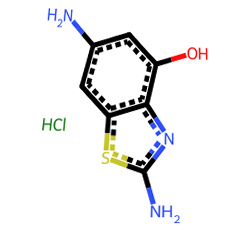 Cl.Nc1cc(O)c2nc(N)sc2c1